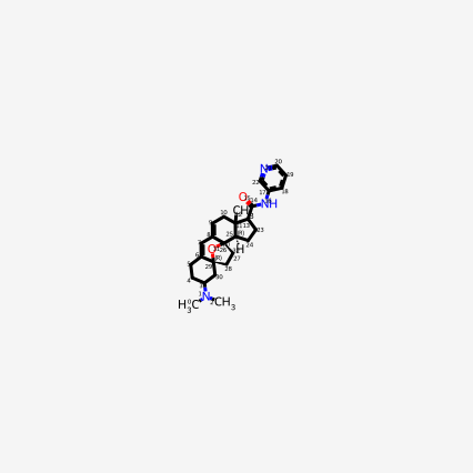 CN(C)C1CCC2=CC3=CCC4(C)C(C(=O)Nc5cccnc5)CC[C@H]4[C@@]34CC[C@]2(C1)O4